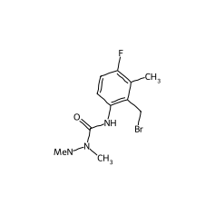 CNN(C)C(=O)Nc1ccc(F)c(C)c1CBr